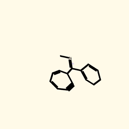 C/N=C(/C1=CCCC=C1)C1C#CC=CC=C1